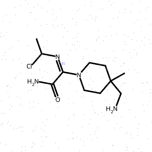 CC(Cl)/N=C(\C(N)=O)N1CCC(C)(CN)CC1